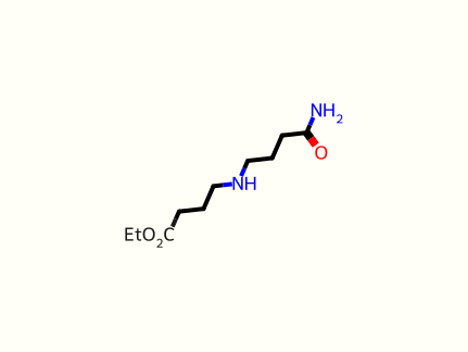 CCOC(=O)CCCNCCCC(N)=O